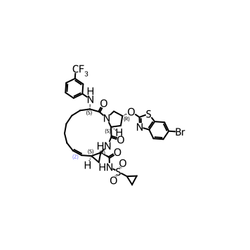 O=C1N[C@]2(C(=O)NS(=O)(=O)C3CC3)C[C@H]2/C=C\CCCCC[C@H](Nc2cccc(C(F)(F)F)c2)C(=O)N2C[C@H](Oc3nc4ccc(Br)cc4s3)C[C@@H]12